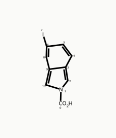 O=C(O)n1cc2ccc(I)cc2c1